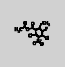 CCc1c(F)c(Cl)c([N+](=O)[O-])c(Cl)c1C(=O)OC(C)=O